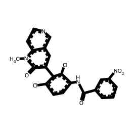 Cn1c(=O)c(-c2c(Cl)ccc(NC(=O)c3cccc([N+](=O)[O-])c3)c2Cl)cc2cnccc21